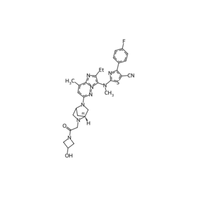 CCc1nc2c(C)cc(N3C[C@H]4CC3CN4CC(=O)N3CC(O)C3)nn2c1N(C)c1nc(-c2ccc(F)cc2)c(C#N)s1